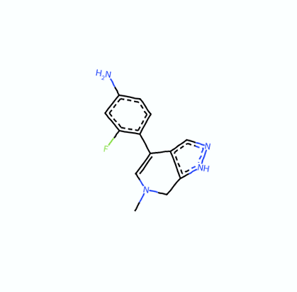 CN1C=C(c2ccc(N)cc2F)c2cn[nH]c2C1